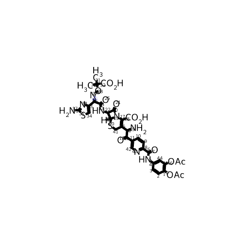 CC(=O)Oc1ccc(NC(=O)c2ccc(C(=O)C(N)C3=C(C(=O)O)N4C(=O)C(NC(=O)/C(=N\OC(C)(C)C(=O)O)c5csc(N)n5)[C@H]4SC3)cn2)cc1OC(C)=O